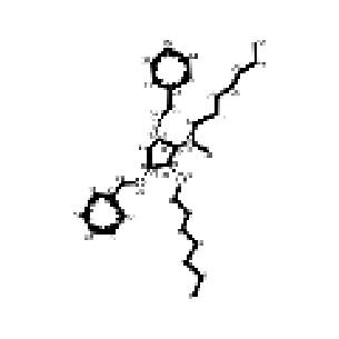 CCCCCCCO[C@H]1[C@H](N(C)CCCCCCC)[C@@H](OCc2ccccc2)C[C@H]1OCc1ccccc1